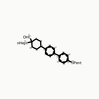 CCCCCCCC1(C=O)CCC(c2ccc(-c3ccc(CCCCC)cc3)cc2)CC1